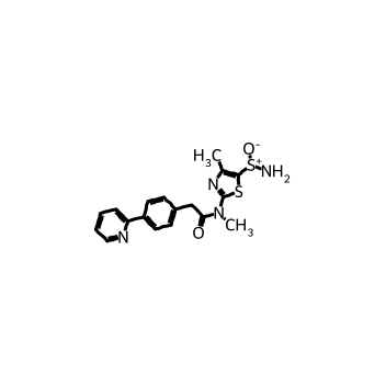 Cc1nc(N(C)C(=O)Cc2ccc(-c3ccccn3)cc2)sc1[S+](N)[O-]